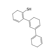 SC1=C(C2=CC(C3=CCCC=C3)=CCC2)C=CCC1